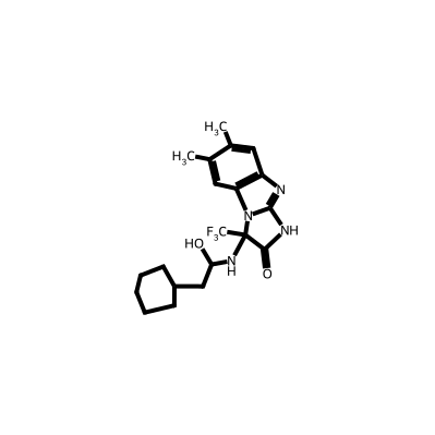 Cc1cc2nc3n(c2cc1C)C(NC(O)CC1CCCCC1)(C(F)(F)F)C(=O)N3